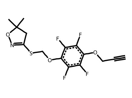 C#CCOc1c(F)c(F)c(OCSC2=NOC(C)(C)C2)c(F)c1F